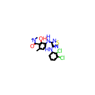 Cc1ccc(Nc2nsnc2Nc2cccc(Cl)c2Cl)c(O)c1C(=O)N(C)C